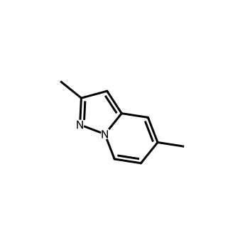 Cc1ccn2nc(C)cc2c1